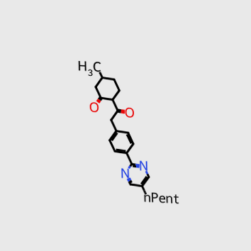 CCCCCc1cnc(-c2ccc(CC(=O)C3CCC(C)CC3=O)cc2)nc1